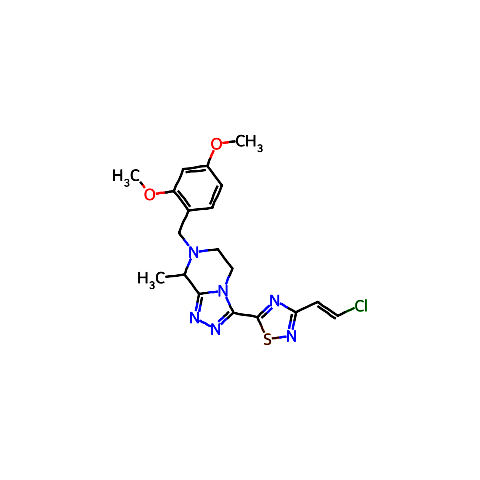 COc1ccc(CN2CCn3c(-c4nc(C=CCl)ns4)nnc3C2C)c(OC)c1